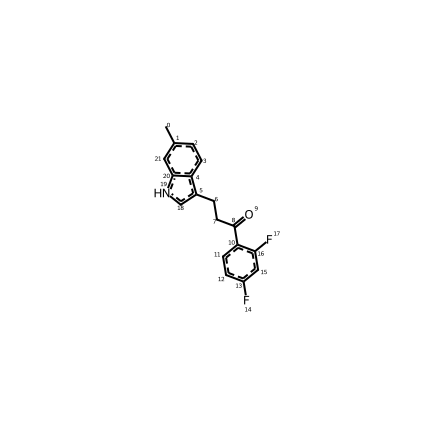 Cc1ccc2c(CCC(=O)c3ccc(F)cc3F)c[nH]c2c1